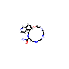 NC(=O)c1ccnccnccnccoc2ccc3cnccc3c2cn1